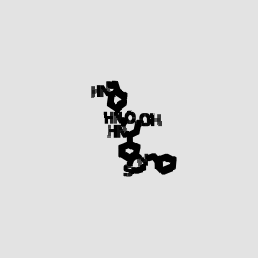 O=C(Nc1ccc2cc[nH]c2c1)NC(CCO)c1ccc2c(c1)N(Cc1ccccc1)CCS2